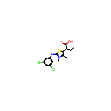 CCC(C(=O)O)c1s/c(=N/c2cc(Cl)cc(Cl)c2)n(C)c1C